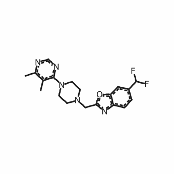 Cc1ncnc(N2CCN(Cc3nc4ccc(C(F)F)cc4o3)CC2)c1C